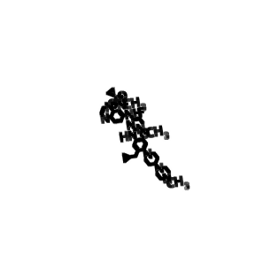 COc1cc(N2CCC(N3CCN(C)CC3)CC2)c(CC2CC2)cc1Nc1ncc(F)c(Nc2ccc3nccnc3c2N(C)S(=O)(=O)C2CC2)n1